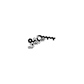 CC(C)=CCC/C(C)=C/CC/C1=C/CSC[C@H](NC(=O)C(NC(=O)OC(C)(C)C)c2ccccc2)C(=O)NN1